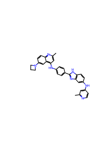 Cc1cc(Nc2ccc3[nH]c(-c4ccc(Nc5cc(C)nc6ccc(N7CCC7)cc56)cc4)nc3c2)ccn1